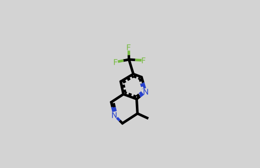 CC1CN=Cc2cc(C(F)(F)F)cnc21